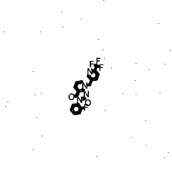 O=c1nc2n(Cc3ccc(C(F)(F)F)nc3)cccc-2c(=O)n1-c1ccccc1F